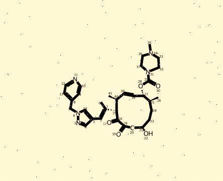 C/C(=C\c1cnn(Cc2ccncc2)c1)[C@H]1C(=O)C(=O)C[C@H](O)CC[C@H](C)[C@@H](OC(=O)N2CCN(C)CC2)/C=C/[C@@H]1C